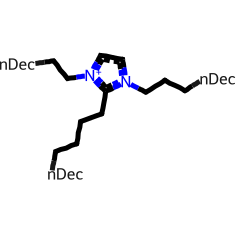 CCCCCCCCCCCCCCc1n(CCCCCCCCCCCCC)cc[n+]1CCCCCCCCCCCC